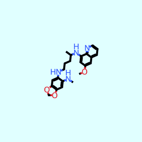 CNc1cc2c(cc1NCCCC(C)Nc1cc(OC)cc3cccnc13)OCO2